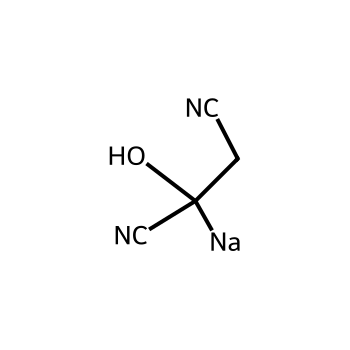 N#CC[C](O)([Na])C#N